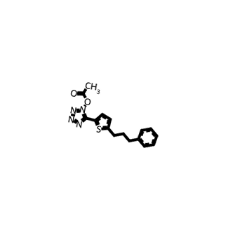 CC(=O)On1nnnc1-c1ccc(CCCc2ccccc2)s1